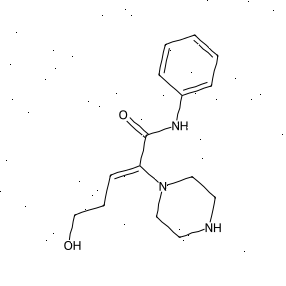 O=C(Nc1ccccc1)C(=CCCO)N1CCNCC1